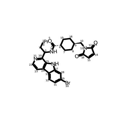 CC(C)CC(NC(=O)[C@H]1CC[C@H](CN2C(=O)C=CC2=O)CC1)c1nccc2c1[nH]c1cc(Br)ccc12